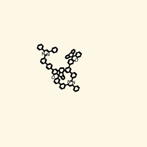 c1ccc(-c2cc(-c3ccccc3)nc(-c3cccc(-c4ccc(-c5ccc6c(c5)Oc5ccc(-c7cccc(-c8cc(-c9ccccc9)nc(-c9cccc(-c%10cccc(-c%11ccc%12c(c%11)Oc%11ccccc%11C%12%11c%12ccccc%12-c%12ccccc%12%11)c%10)c9)n8)c7)cc5C65c6ccccc6-c6ccccc65)cc4)c3)n2)cc1